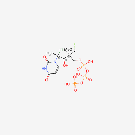 CO[C@](CF)(COP(=O)(O)OP(=O)(O)OP(=O)(O)O)[C@@H](O)[C@@](C)(Cl)n1ccc(=O)[nH]c1=O